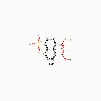 COC(=O)c1cccc2c(S(=O)(=O)[O-])ccc(C(=O)OC)c12.[Na+]